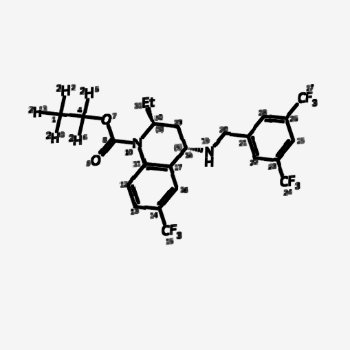 [2H]C([2H])([2H])C([2H])([2H])OC(=O)N1c2ccc(C(F)(F)F)cc2[C@@H](NCc2cc(C(F)(F)F)cc(C(F)(F)F)c2)C[C@@H]1CC